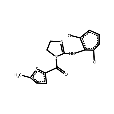 Cc1ccc(C(=O)N2CCN=C2Nc2c(Cl)cccc2Cl)s1